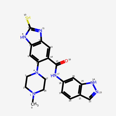 CN1CCN(c2cc3[nH]c(S)nc3cc2C(=O)Nc2ccc3cn[nH]c3c2)CC1